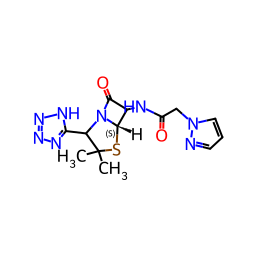 CC1(C)S[C@H]2C(NC(=O)Cn3cccn3)C(=O)N2C1c1nnn[nH]1